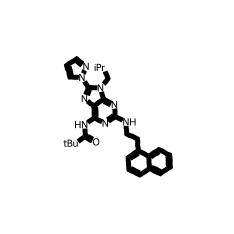 CC(C)Cn1c(-n2cccn2)nc2c(NC(=O)C(C)(C)C)nc(NCCc3cccc4ccccc34)nc21